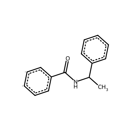 CC(NC(=O)c1c[c][c]cc1)c1ccccc1